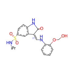 CC(C)NS(=O)(=O)c1ccc2c(c1)/C(=C/Nc1ccccc1OCO)C(=O)N2